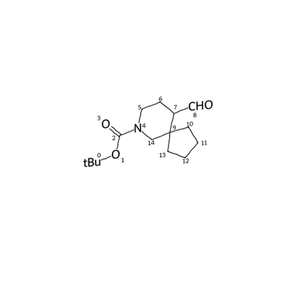 CC(C)(C)OC(=O)N1CCC(C=O)C2(CCCC2)C1